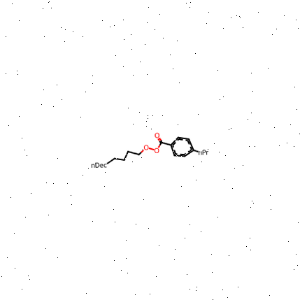 [CH2]CCCCCCCCCCCCCOOC(=O)c1ccc(CCC)cc1